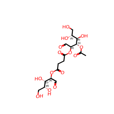 CC(=O)O[C@@H]([C@H](O)[C@H](O)CO)[C@H](C=O)OC(=O)CCC(=O)O[C@@H](C=O)[C@@H](O)[C@H](O)CO